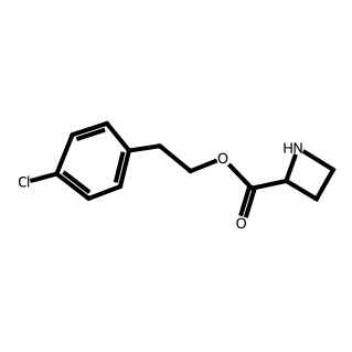 O=C(OCCc1ccc(Cl)cc1)C1CCN1